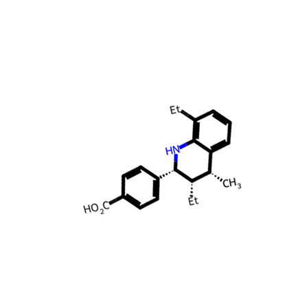 CCc1cccc2c1N[C@@H](c1ccc(C(=O)O)cc1)[C@@H](CC)[C@H]2C